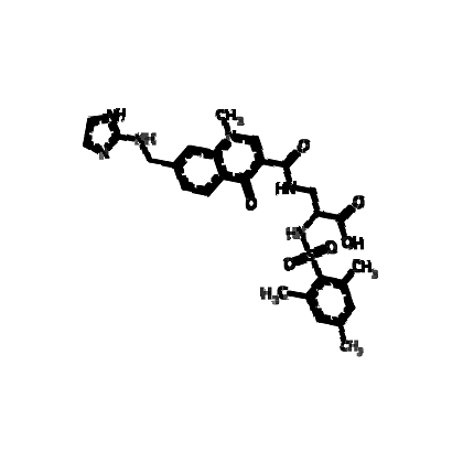 Cc1cc(C)c(S(=O)(=O)NC(CNC(=O)c2cn(C)c3cc(CNc4ncc[nH]4)ccc3c2=O)C(=O)O)c(C)c1